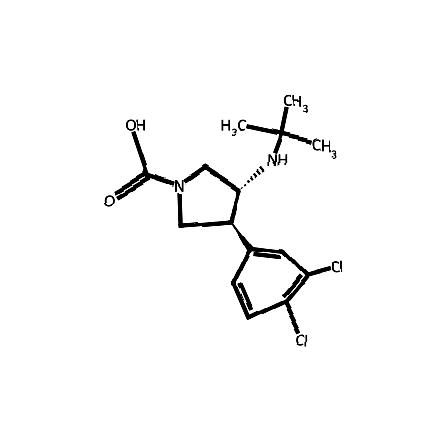 CC(C)(C)N[C@H]1CN(C(=O)O)C[C@@H]1c1ccc(Cl)c(Cl)c1